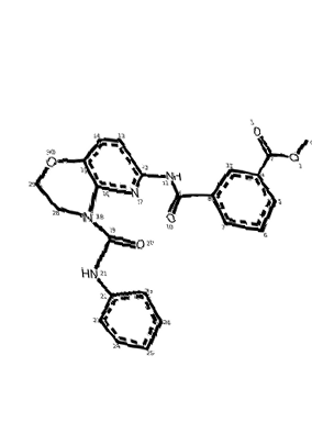 COC(=O)c1cccc(C(=O)Nc2ccc3c(n2)N(C(=O)Nc2ccccc2)CCO3)c1